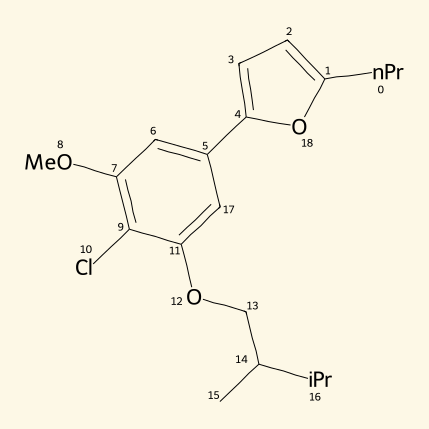 CCCc1ccc(-c2cc(OC)c(Cl)c(OCC(C)C(C)C)c2)o1